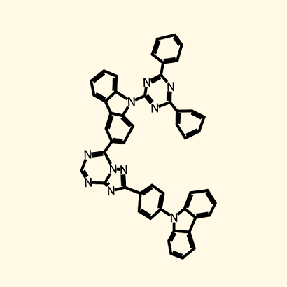 c1ccc(-c2nc(-c3ccccc3)nc(-n3c4ccccc4c4cc(-c5ncnc6nc(-c7ccc(-n8c9ccccc9c9ccccc98)cc7)nn56)ccc43)n2)cc1